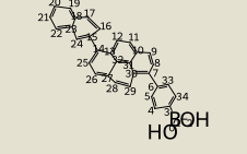 OB(O)c1ccc(-c2ccc3ccc4c(-c5ccc6ccccc6c5)ccc5ccc2c3c54)cc1